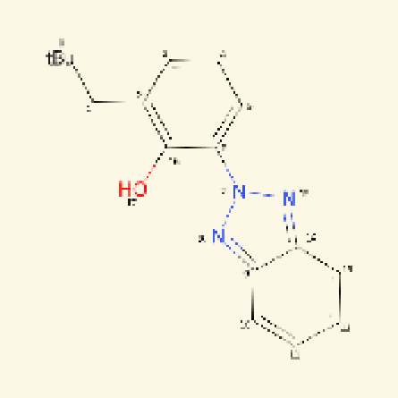 CC(C)(C)Cc1cccc(-n2nc3ccccc3n2)c1O